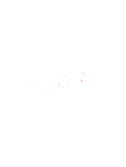 CS(=O)(=O)Nc1ccc([CH]C(N)=O)cc1